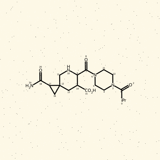 CC(C)C(=O)N1CCN(C(=O)C2NCC3(CC2C(=O)O)CC3C(N)=O)CC1